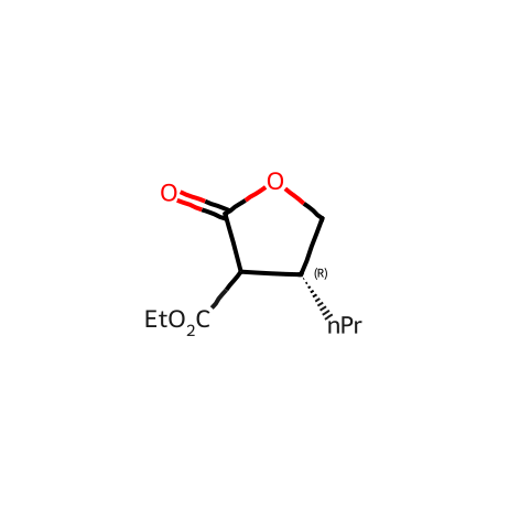 CCC[C@H]1COC(=O)C1C(=O)OCC